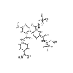 COc1ccc(-c2ccc(C(=O)NC(CO)C(C)(C)C)nc2C(=O)O)c(C(=O)Nc2ccc(C(=N)N)cc2)c1.CS(=O)(=O)O